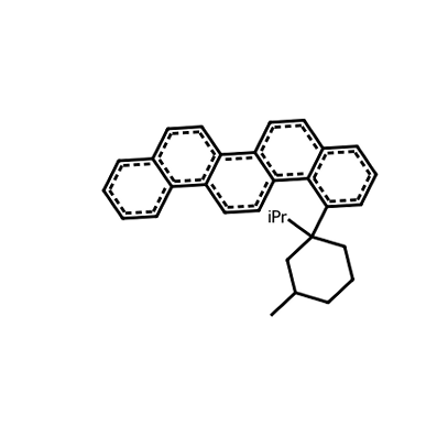 CC1CCCC(c2cccc3ccc4c5ccc6ccccc6c5ccc4c23)(C(C)C)C1